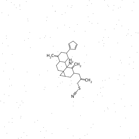 C=C(CSC#N)CC1CC2CC23CCC2C(=C)CC(C4=CCC=C4)CC2C3(N)C1=C